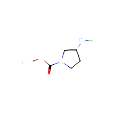 CC(C)(C)OC(=O)N1CC[C@H](NF)C1